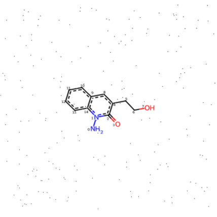 Nn1c(=O)c(CCO)cc2ccccc21